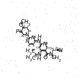 CO[C@H]1CCN(c2nccc(Nc3cc(NC(C)C)c(C(=O)N(C)CC#N)cn3)n2)C[C@H]1F